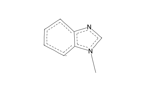 Cn1cnc2ccc[c]c21